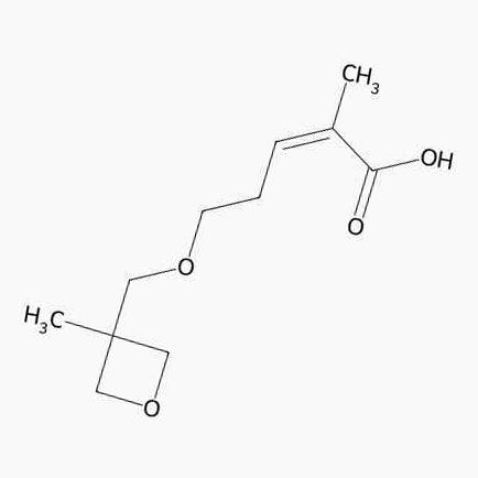 CC(=CCCOCC1(C)COC1)C(=O)O